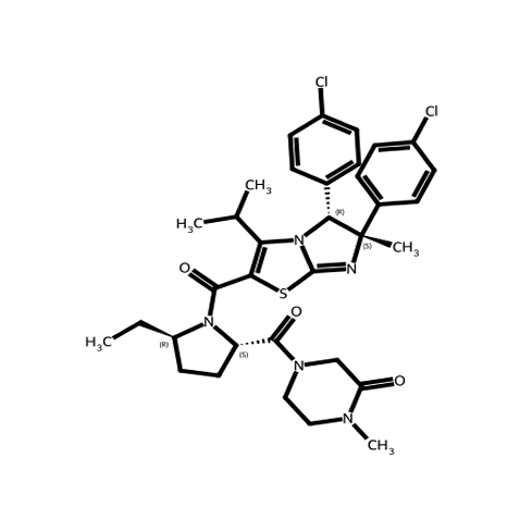 CC[C@@H]1CC[C@@H](C(=O)N2CCN(C)C(=O)C2)N1C(=O)C1=C(C(C)C)N2C(=N[C@@](C)(c3ccc(Cl)cc3)[C@H]2c2ccc(Cl)cc2)S1